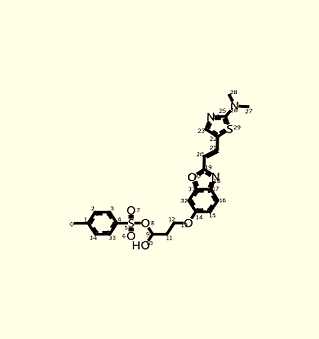 Cc1ccc(S(=O)(=O)OC(O)CCOc2ccc3nc(/C=C/c4cnc(N(C)C)s4)oc3c2)cc1